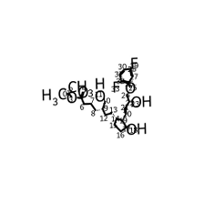 CC(C)OC(=O)CCC[C@H](CO)CC[C@H]1CC[C@@H](O)[C@@H]1/C=C/[C@@H](O)COc1cc(F)ccc1F